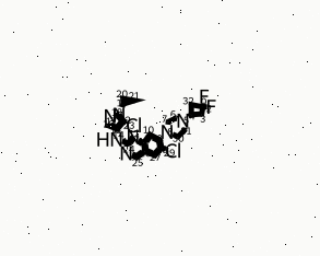 FC1(F)CC(N2CCN(c3cc4nc(Nc5cnn(C6CC6)c5Cl)ncc4cc3Cl)CC2)C1